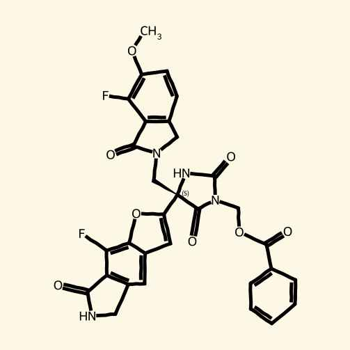 COc1ccc2c(c1F)C(=O)N(C[C@@]1(c3cc4cc5c(c(F)c4o3)C(=O)NC5)NC(=O)N(COC(=O)c3ccccc3)C1=O)C2